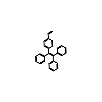 C=Cc1ccc(C(=C(c2ccccc2)c2ccccc2)c2ccccc2)cc1